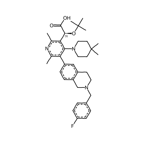 Cc1nc(C)c([C@H](OC(C)(C)C)C(=O)O)c(N2CCC(C)(C)CC2)c1-c1ccc2c(c1)CCN(Cc1ccc(F)cc1)C2